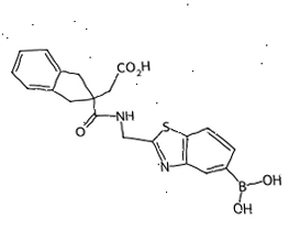 O=C(O)CC1(C(=O)NCc2nc3cc(B(O)O)ccc3s2)Cc2ccccc2C1